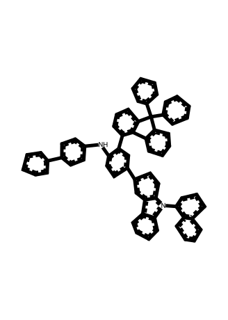 c1ccc(-c2ccc(Nc3ccc(-c4ccc5c(c4)c4ccccc4n5-c4cccc5ccccc45)cc3-c3cccc4c3-c3ccccc3C4(c3ccccc3)c3ccccc3)cc2)cc1